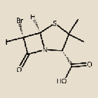 CC1(C)S[C@H]2N(C(=O)[C@@]2(Br)I)[C@H]1C(=O)O